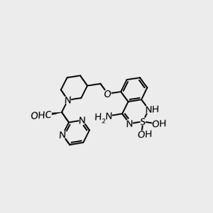 NC1=NS(O)(O)Nc2cccc(OCC3CCCN([C@H](C=O)c4ncccn4)C3)c21